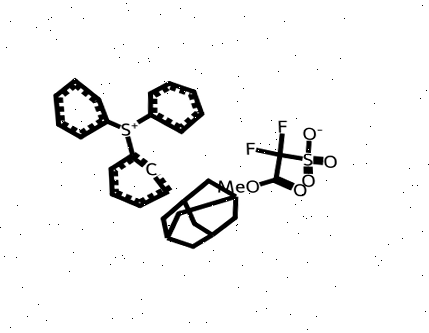 C1C2CC3CC1CC(C2)C3.COC(=O)C(F)(F)S(=O)(=O)[O-].c1ccc([S+](c2ccccc2)c2ccccc2)cc1